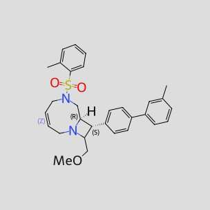 COCC1[C@@H](c2ccc(-c3cccc(C)c3)cc2)[C@@H]2CN(S(=O)(=O)c3ccccc3C)C/C=C\CN12